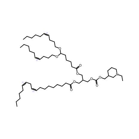 CCCCC/C=C\C/C=C\CCCCCCCC(=O)OCC(COC(=O)CCCCC(OCCC/C=C\CCCCC)OCCC/C=C\CCCCC)COC(=O)OCC1CCCN(CC)C1